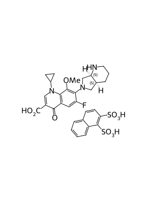 COc1c(N2C[C@@H]3CCCN[C@@H]3C2)c(F)cc2c(=O)c(C(=O)O)cn(C3CC3)c12.O=S(=O)(O)c1ccc2ccccc2c1S(=O)(=O)O